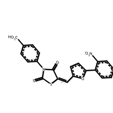 O=C(O)c1ccc(N2C(=O)/C(=C\c3ccc(-c4ccccc4[N+](=O)[O-])o3)SC2=S)cc1